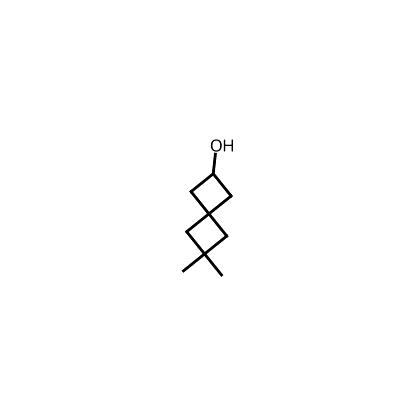 CC1(C)CC2(CC(O)C2)C1